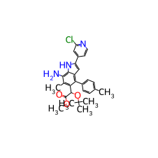 COC(=O)C(OC(C)(C)C)c1c(C)c(N)c2[nH]c(-c3ccnc(Cl)c3)cc2c1-c1ccc(C)cc1